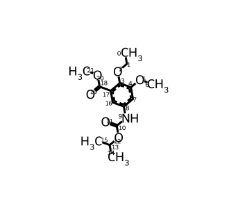 CCOc1c(OC)cc(NC(=O)OC(C)C)cc1C(=O)OC